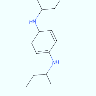 CCC(C)NC1=CCC(NC(C)CC)C=C1